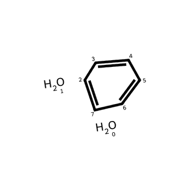 O.O.c1ccccc1